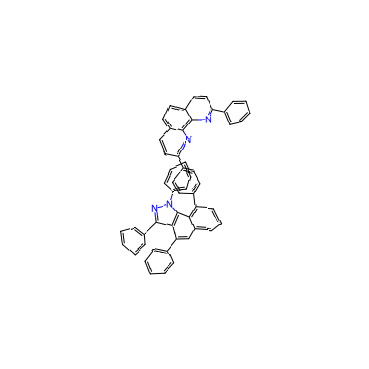 c1ccc(-c2ccc3ccc4ccc(-c5ccc(-c6cccc7cc(-c8ccccc8)c8c(-c9ccccc9)nn(-c9ccccc9)c8c67)cc5)nc4c3n2)cc1